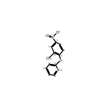 O=[N+]([O-])c1ccc(Sc2ccccn2)c(Cl)c1